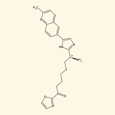 Cc1ccc2cc(-c3cnc([C@@H](N)CSCCCC(=O)c4ncco4)[nH]3)ccc2n1